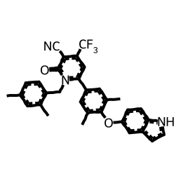 Cc1ccc(Cn2c(-c3cc(C)c(Oc4ccc5[nH]ccc5c4)c(C)c3)cc(C(F)(F)F)c(C#N)c2=O)c(C)c1